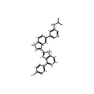 CC(C)Nc1cncc(-c2ccc3[nH]nc(-c4nc5c(-c6ccc(F)cc6)nccc5[nH]4)c3c2)c1